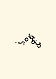 COCCN[C@H]1CC[C@H](Nc2cc(-c3cccc(NCC4(C#N)CCOCC4)c3)c(Cl)cn2)CC1